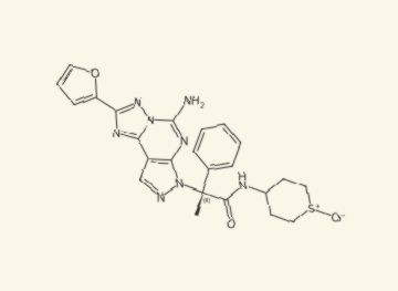 C[C@](C(=O)NC1CC[S+]([O-])CC1)(c1ccccc1)n1ncc2c1nc(N)n1nc(-c3ccco3)nc21